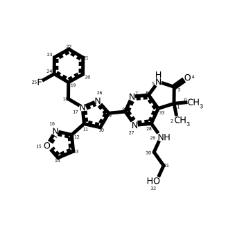 CC1(C)C(=O)Nc2nc(-c3cc(-c4ccon4)n(Cc4ccccc4F)n3)nc(NCCO)c21